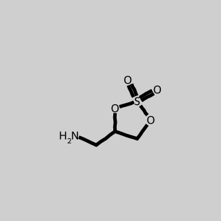 NCC1COS(=O)(=O)O1